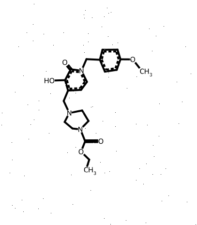 CCOC(=O)N1CCN(Cc2ccn(Cc3ccc(OC)cc3)c(=O)c2O)CC1